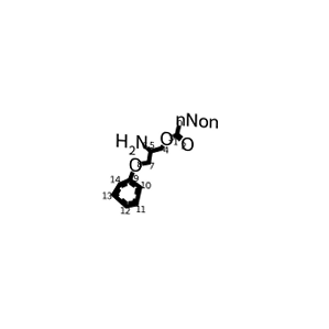 CCCCCCCCCC(=O)OCC(N)COc1ccccc1